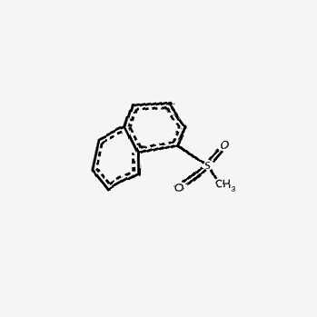 CS(=O)(=O)c1c[c]cc2ccccc12